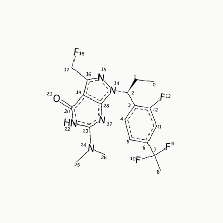 CC[C@@H](c1ccc(C(C)(F)F)cc1F)n1nc(CF)c2c(=O)[nH]c(N(C)C)nc21